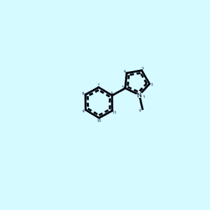 Cn1cccc1-c1c[c]ccc1